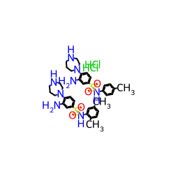 Cc1ccc(C)c(NS(=O)(=O)c2ccc(N3CCCNCC3)c(N)c2)c1.Cc1ccc(NS(=O)(=O)c2ccc(N3CCCNCC3)c(N)c2)cc1.Cl.Cl